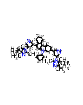 CC1=NC(C)(C)C(C)(C)N1c1cncc(-c2ccc3c4c5ccccc5c(-c5cncc(N6C(C)=NC(C)(C)C6(C)C)c5)cc4n(-c4ccccc4)c3c2)c1